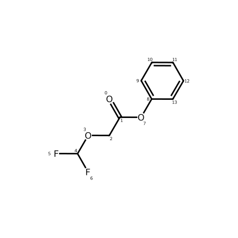 O=C(COC(F)F)Oc1ccccc1